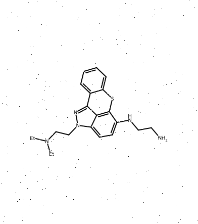 CCN(CC)CCn1nc2c3c(c(NCCN)ccc31)Sc1ccccc1-2